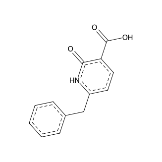 O=C(O)c1ccc(Cc2ccccc2)[nH]c1=O